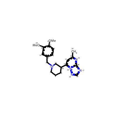 COc1ccc(CN2CCCC(c3cc(C)nc4ncnn34)C2)cc1OC